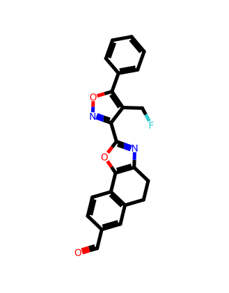 O=Cc1ccc2c(c1)CCc1nc(-c3noc(-c4ccccc4)c3CF)oc1-2